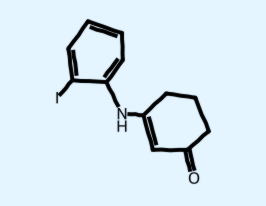 O=C1C=C(Nc2ccccc2I)CCC1